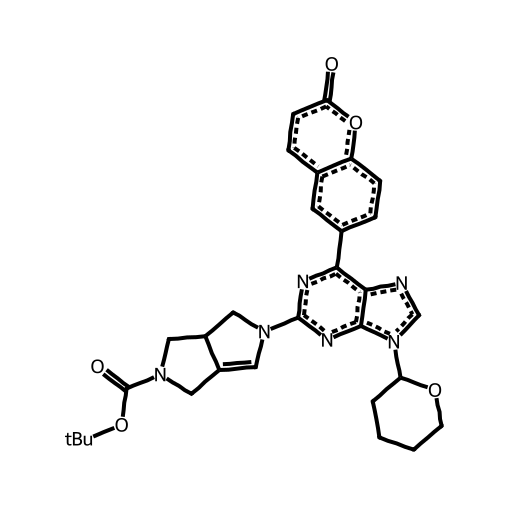 CC(C)(C)OC(=O)N1CC2=CN(c3nc(-c4ccc5oc(=O)ccc5c4)c4ncn(C5CCCCO5)c4n3)CC2C1